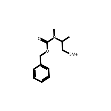 CSCC(C)N(C)C(=O)OCc1ccccc1